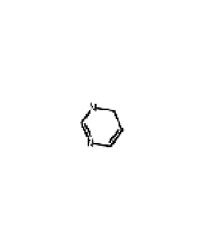 C1=CN=C[N]C1